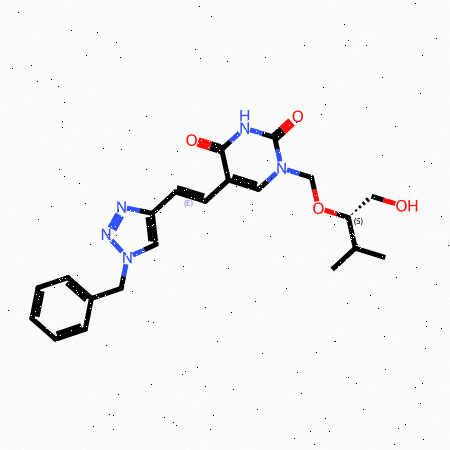 CC(C)[C@@H](CO)OCn1cc(/C=C/c2cn(Cc3ccccc3)nn2)c(=O)[nH]c1=O